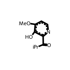 COc1ccnc(C(=O)C(C)C)c1O